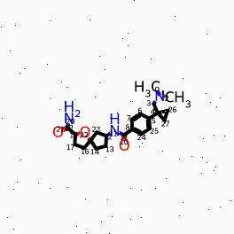 CN(C)CC1(c2ccc(C(=O)NC3[CH]CC4(CCC(C(N)=O)O4)C3)cc2)CC1